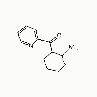 O=C(c1ccccn1)C1CCCCC1[N+](=O)[O-]